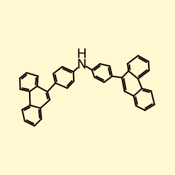 c1ccc2c(c1)cc(-c1ccc(Nc3ccc(-c4cc5ccccc5c5ccccc45)cc3)cc1)c1ccccc12